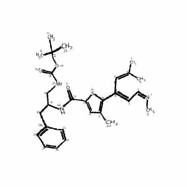 C/N=C\C=C(/C=C(C)C)c1sc(C(=O)NC(CNC(=O)OC(C)(C)C)Cc2ccccc2)cc1C